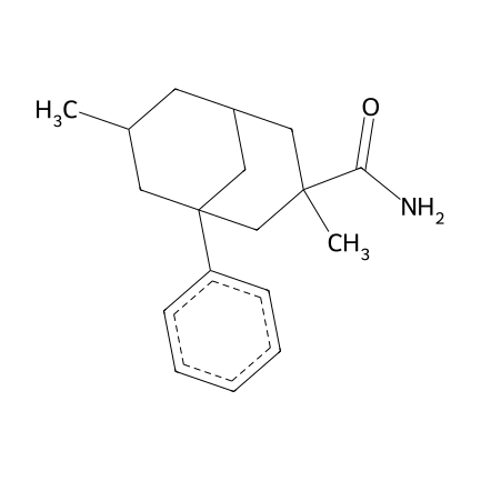 CC1CC2CC(C)(C(N)=O)CC(c3ccccc3)(C1)C2